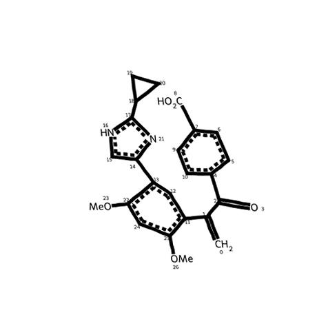 C=C(C(=O)c1ccc(C(=O)O)cc1)c1cc(-c2c[nH]c(C3CC3)n2)c(OC)cc1OC